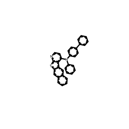 c1ccc(-c2ccc(N(c3ccccc3)c3ccnc4sc5cc6ccccc6cc5c34)cc2)cc1